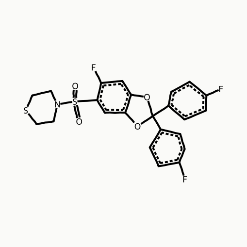 O=S(=O)(c1cc2c(cc1F)OC(c1ccc(F)cc1)(c1ccc(F)cc1)O2)N1CCSCC1